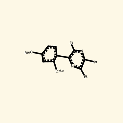 CCc1nc(-c2ccc(OC)cc2OC)c(CC)nc1Br